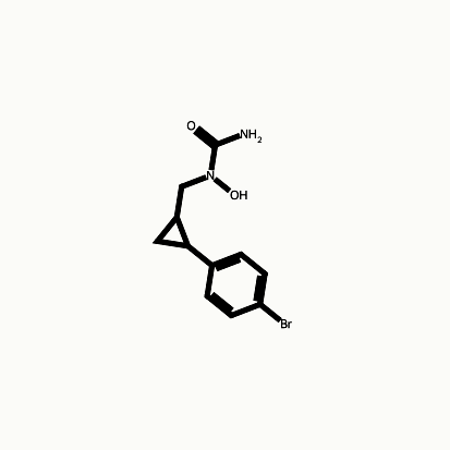 NC(=O)N(O)CC1CC1c1ccc(Br)cc1